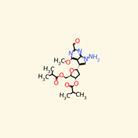 COc1nc(C=O)nc2c1c([C@@H]1C[C@H](OC(=O)C(C)C)[C@@H](COC(=O)C(C)C)O1)cn2N